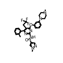 Cc1ccccc1-c1nc(N[S+]([O-])c2cnn(C)c2)nc(Oc2cccc(N3CCN(C)CC3)c2)c1CC(F)(F)F